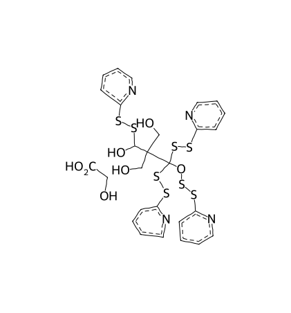 O=C(O)CO.OCC(CO)(C(O)SSc1ccccn1)C(OSSc1ccccn1)(SSc1ccccn1)SSc1ccccn1